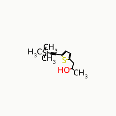 CC(O)Cc1ccc(C#C[Si](C)(C)C)s1